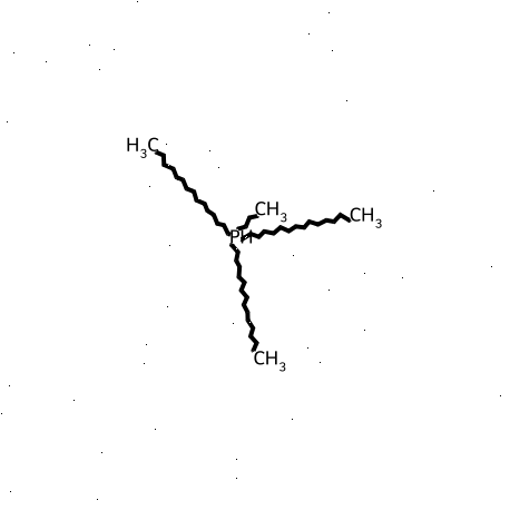 CCCCCCCCCCCCCCCC[PH](CCCCC)(CCCCCCCCCCCCCCCC)CCCCCCCCCCCCCCCC